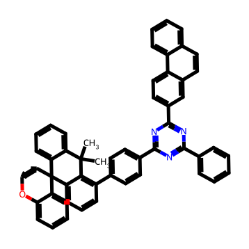 CC1(C)c2ccccc2C2(c3ccccc3Oc3ccccc32)c2cccc(-c3ccc(-c4nc(-c5ccccc5)nc(-c5ccc6c(ccc7ccccc76)c5)n4)cc3)c21